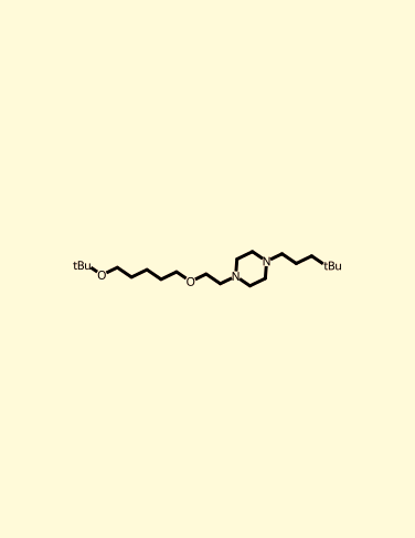 CC(C)(C)CCCN1CCN(CCOCCCCCOC(C)(C)C)CC1